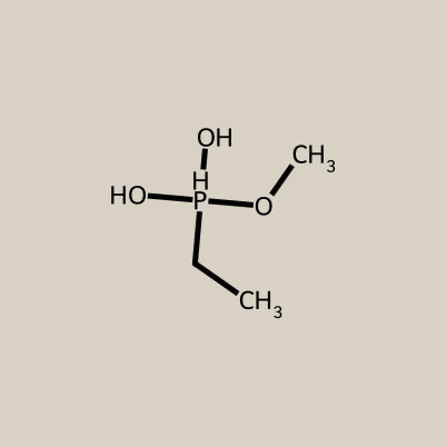 CC[PH](O)(O)OC